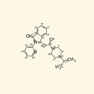 CC(C)N1CCN(C(=O)OC2c3ccccc3C(=O)N2c2ccccn2)CC1